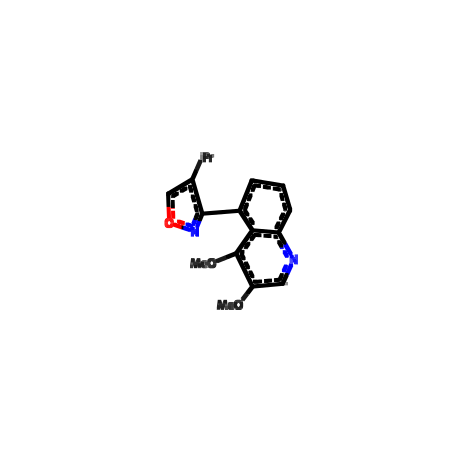 COc1[c]nc2cccc(-c3nocc3C(C)C)c2c1OC